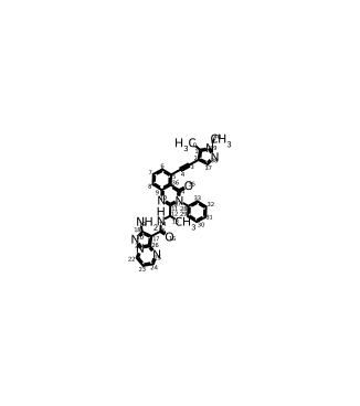 Cc1c(C#Cc2cccc3nc(C(C)NC(=O)c4c(N)nn5cccnc45)n(-c4ccccc4)c(=O)c23)cnn1C